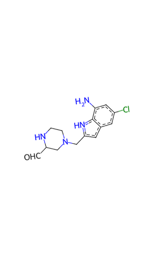 Nc1cc(Cl)cc2cc(CN3CCNC(C=O)C3)[nH]c12